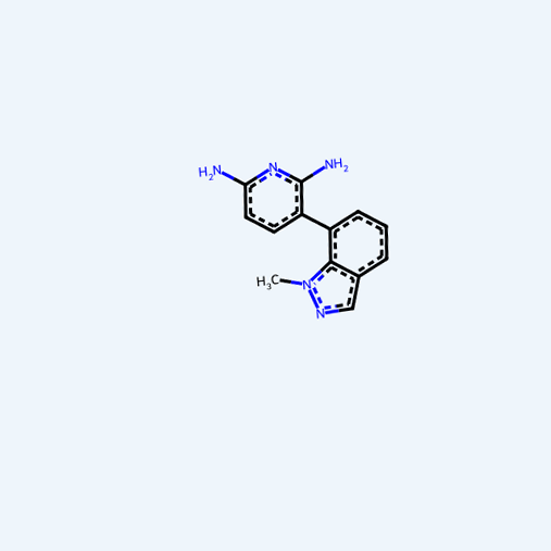 Cn1ncc2cccc(-c3ccc(N)nc3N)c21